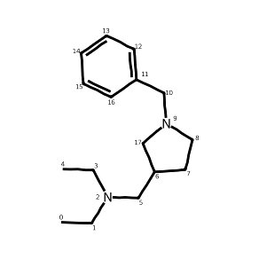 CCN(CC)CC1CCN(Cc2ccccc2)C1